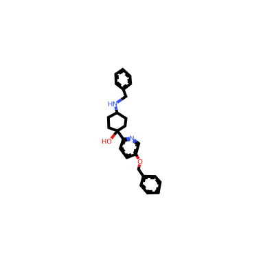 OC1(c2ccc(OCc3ccccc3)cn2)CCC(NCc2ccccc2)CC1